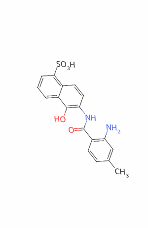 Cc1ccc(C(=O)Nc2ccc3c(S(=O)(=O)O)cccc3c2O)c(N)c1